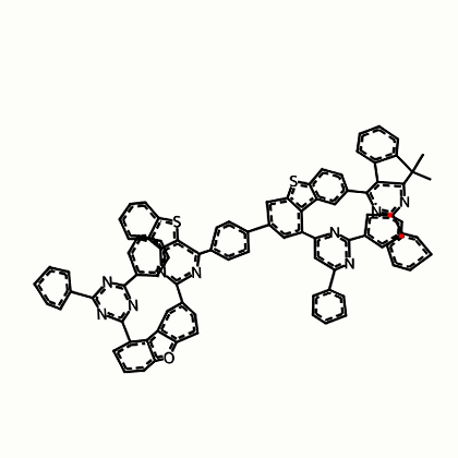 CC1(C)c2ccccc2-c2c(-c3ccc4sc5cc(-c6ccc(-c7nc(-c8ccc9oc%10cccc(-c%11nc(-c%12ccccc%12)nc(-c%12ccccc%12)n%11)c%10c9c8)nc8c7sc7ccccc78)cc6)cc(-c6cc(-c7ccccc7)nc(-c7ccccc7)n6)c5c4c3)nc(-c3ccccc3)nc21